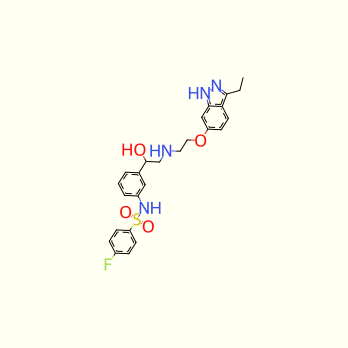 CCc1n[nH]c2cc(OCCNCC(O)c3cccc(NS(=O)(=O)c4ccc(F)cc4)c3)ccc12